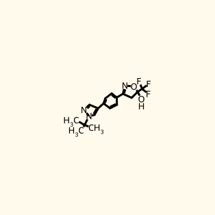 CC(C)(C)n1cc(-c2ccc(C3=NOC(O)(C(F)(F)F)C3)cc2)cn1